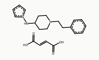 O=C(O)C=CC(=O)O.c1ccc(CCN2CCC(Nn3cccc3)CC2)cc1